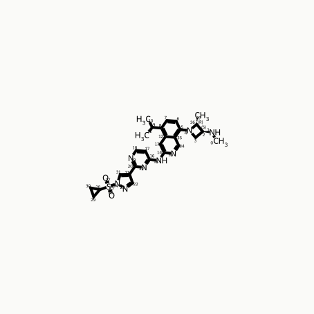 CN[C@H]1CN(c2ccc(C(C)C)c3cc(Nc4ccnc(-c5cnn(S(=O)(=O)C6CC6)c5)n4)ncc23)[C@@H]1C